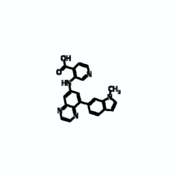 Cn1ccc2ccc(-c3cc(Nc4cnccc4C(=O)O)cc4nccnc34)cc21